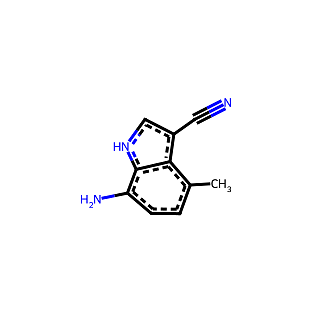 Cc1ccc(N)c2[nH]cc(C#N)c12